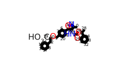 Cc1noc(-c2ccc(COC(Cc3ccccc3)C(=O)O)cc2)c1NC(=O)OC(C)c1ccccc1